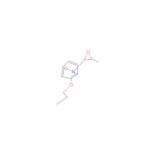 CCCOc1cc2ccc1N(C1OC1C)O2